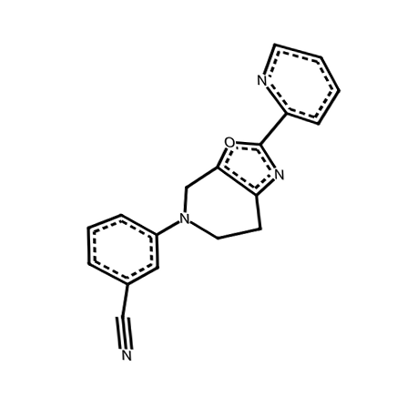 N#Cc1cccc(N2CCc3nc(-c4ccccn4)oc3C2)c1